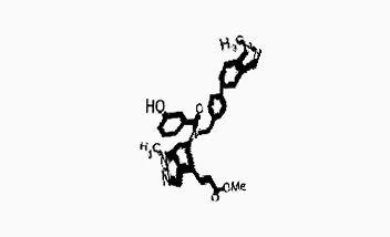 COC(=O)/C=C/c1cc(N(Cc2ccc(-c3ccc4c(cnn4C)c3)cc2)C(=O)C2CCCC(O)C2)cc2c1cnn2C